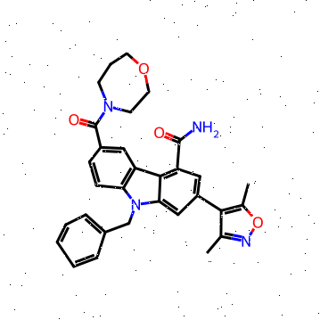 Cc1noc(C)c1-c1cc(C(N)=O)c2c3cc(C(=O)N4CCCOCC4)ccc3n(Cc3ccccc3)c2c1